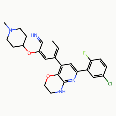 C/C=C(\C=C(/C=N)OC1CCN(C)CC1)c1cc(-c2cc(Cl)ccc2F)nc2c1OCCN2